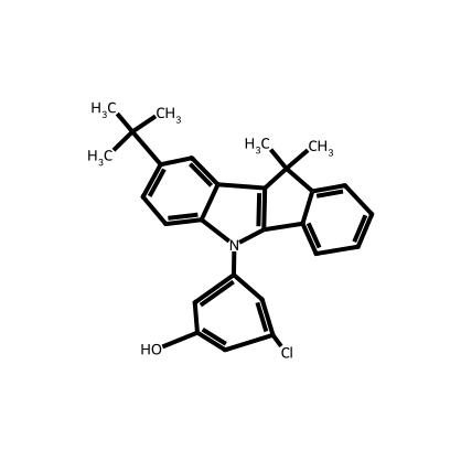 CC(C)(C)c1ccc2c(c1)c1c(n2-c2cc(O)cc(Cl)c2)-c2ccccc2C1(C)C